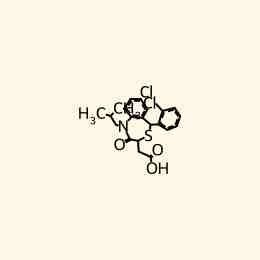 CC(C)CN1C(=O)C(CC(=O)O)SC(c2ccccc2Cl)c2cc(Cl)ccc21